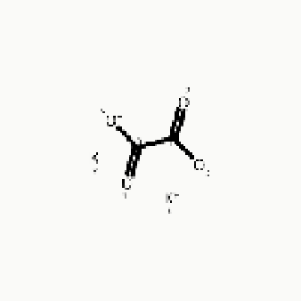 O=C([O-])C(=O)[O-].[K+].[K+]